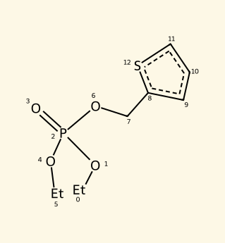 CCOP(=O)(OCC)OCc1cccs1